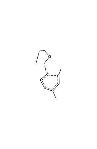 Cc1ccc([C@@H]2CCCO2)c(C)c1